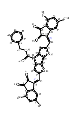 O=C1C(=O)c2c(F)cc(F)cc2/C1=C/c1cc2c(s1)c1sc(/C=C3\C(=O)C(=O)c4c(F)cc(F)cc43)cc1n2C(=O)OCc1ccccc1